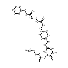 COCCOC(=O)COC(=O)C(C)OC(=O)CCN1CCN(CCC(=O)OCOC(=O)CCN2CCNCC2)CC1